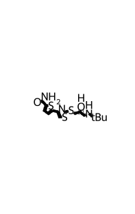 CC(C)(C)NC[C@H](O)CSc1nc(-c2ccc(C(N)=O)s2)cs1